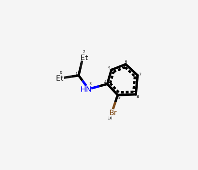 CCC(CC)Nc1ccccc1Br